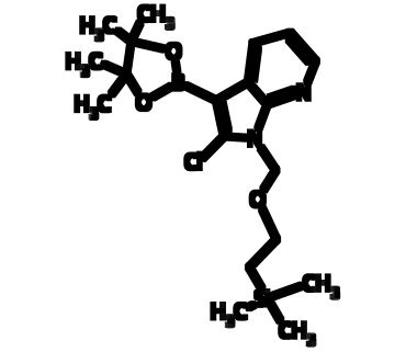 CC1(C)OB(c2c(Cl)n(COCC[Si](C)(C)C)c3ncccc23)OC1(C)C